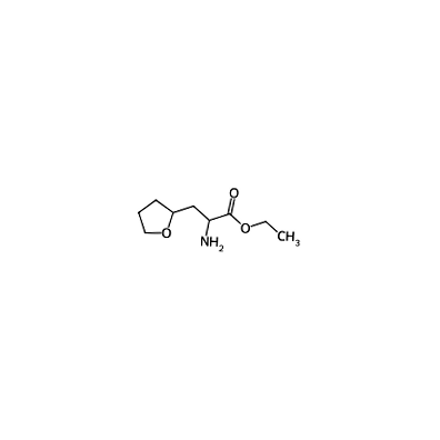 CCOC(=O)C(N)CC1CCCO1